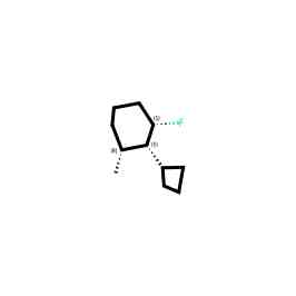 C[C@@H]1CCC[C@H](F)[C@@H]1C1CCC1